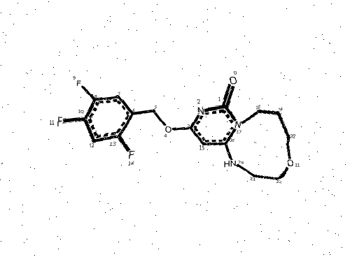 O=c1nc(OCc2cc(F)c(F)cc2F)cc2n1CCCOCCN2